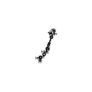 CC[C@@H]1N=C(c2ccc(C#CC3CC4(C3)CN(c3ccc(C(=O)NC5CCC(Oc6ccc(C#N)c(OC(F)(F)F)c6)CC5)nn3)C4)cc2)c2c(sc(C)c2C)-n2c(C)nnc21